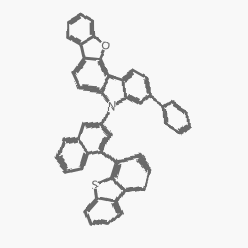 c1ccc(-c2ccc3c4c5oc6ccccc6c5ccc4n(-c4cc(-c5cccc6c5sc5ccccc56)c5ccccc5c4)c3c2)cc1